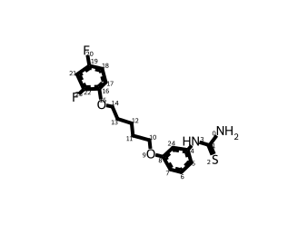 NC(=S)Nc1cccc(OCCCCCOc2ccc(F)cc2F)c1